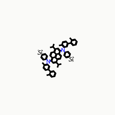 Cc1ccccc1-c1ccc(C)c(N(c2ccc([Si](C)(C)C)cc2)c2cc(C(C)C)c3ccc4c(N(c5ccc([Si](C)(C)C)cc5)c5cc(-c6ccccc6C)ccc5C)cc(C(C)C)c5ccc2c3c54)c1